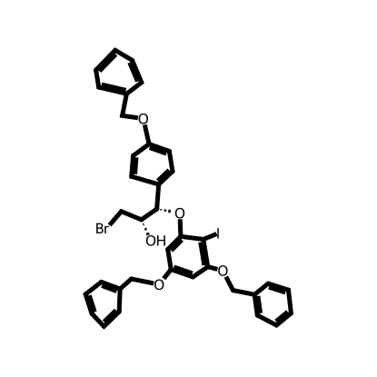 O[C@H](CBr)[C@@H](Oc1cc(OCc2ccccc2)cc(OCc2ccccc2)c1I)c1ccc(OCc2ccccc2)cc1